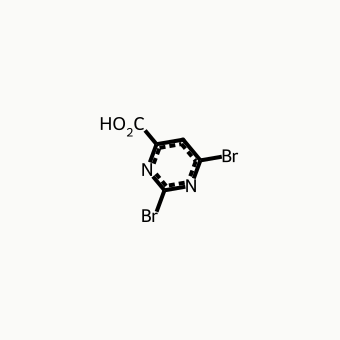 O=C(O)c1cc(Br)nc(Br)n1